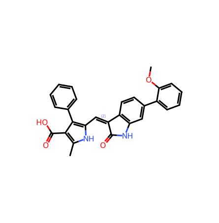 COc1ccccc1-c1ccc2c(c1)NC(=O)/C2=C\c1[nH]c(C)c(C(=O)O)c1-c1ccccc1